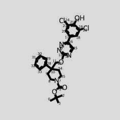 CC(C)(C)OC(=O)N1CCC(COc2ncc(-c3cc(Cl)c(O)c(Cl)c3)nn2)(c2ccccc2)CC1